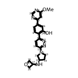 COc1cc(-c2ccc(-c3ccc(N4CC[C@@H](NC5COC5)C4)nn3)c(O)c2)ncn1